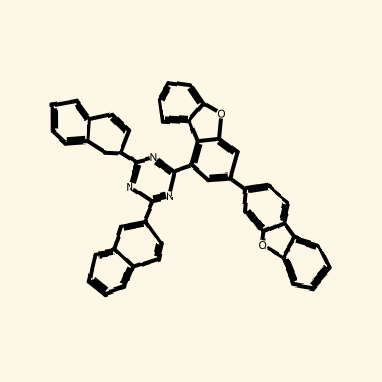 C1=CC(c2nc(-c3ccc4ccccc4c3)nc(-c3cc(-c4ccc5c(c4)oc4ccccc45)cc4oc5ccccc5c34)n2)Cc2ccccc21